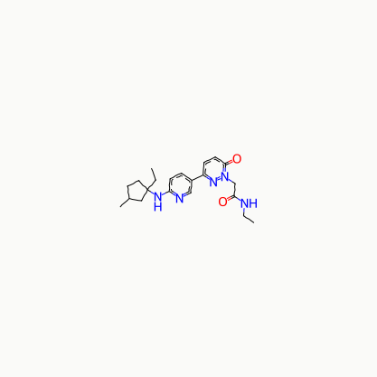 CCNC(=O)Cn1nc(-c2ccc(NC3(CC)CCC(C)C3)nc2)ccc1=O